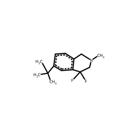 CN1Cc2ccc(C(C)(C)C)cc2C(F)(F)C1